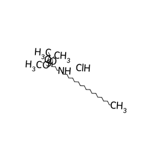 CCCCCCCCCCCCCCCCCCNCCC[Si](OCC)(OCC)OCC.Cl